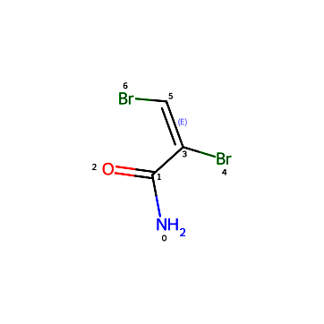 NC(=O)/C(Br)=C\Br